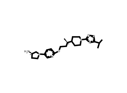 CC(C)c1noc(N2CCC([C@H](C)CCOc3ccc(N4CC[C@@H](N)C4)cn3)CC2)n1